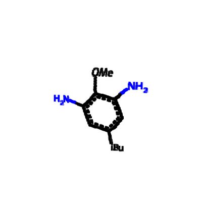 CCC(C)c1cc(N)c(OC)c(N)c1